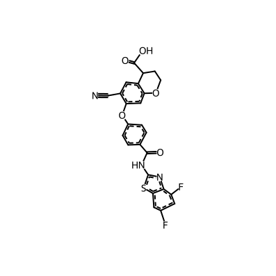 N#Cc1cc2c(cc1Oc1ccc(C(=O)Nc3nc4c(F)cc(F)cc4s3)cc1)OCCC2C(=O)O